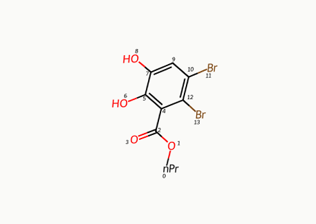 CCCOC(=O)c1c(O)c(O)cc(Br)c1Br